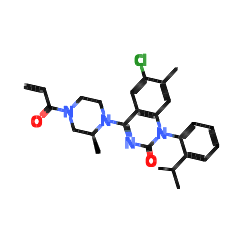 C=CC(=O)N1CCN(c2nc(=O)n(-c3ccccc3C(C)C)c3cc(C)c(Cl)cc23)[C@@H](C)C1